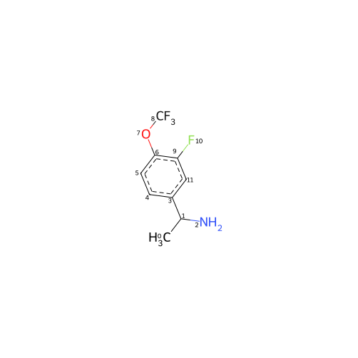 CC(N)c1ccc(OC(F)(F)F)c(F)c1